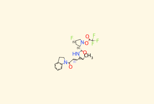 CC[C@@H](/C=C/C(=O)N1CCc2ccccc21)NC(=O)[C@@H]1C[C@H](F)CN1OC(=O)C(F)(F)F